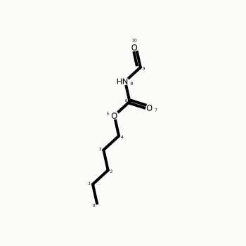 CCCCCOC(=O)N[C]=O